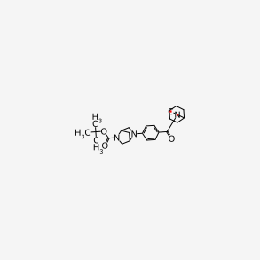 CC(C)(C)OC(=O)N1CC2CC1CN2c1ccc(C(=O)N2CC3CCC(CC3)C2)cc1